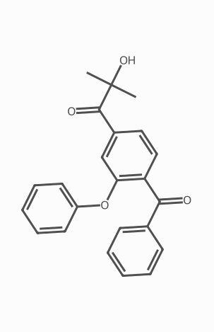 CC(C)(O)C(=O)c1ccc(C(=O)c2ccccc2)c(Oc2ccccc2)c1